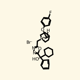 O[C@](c1ccccc1)(c1nnc(C[N+]23CCC(CC2)[C@@H](Oc2ccc(F)cc2)C3)o1)C1CCCCC1.[Br-]